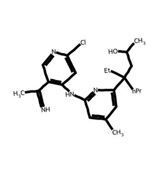 CCCC(CC)(CC(C)O)c1cc(C)cc(Nc2cc(Cl)ncc2C(C)=N)n1